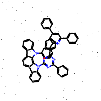 c1ccc(-c2cc(-c3ccccc3)nc(-c3cccc(-n4c5ccccc5c5ccc6c7ccccc7n(-c7nc(-c8ccccc8)nc(-c8ccccc8)n7)c6c54)c3)c2)cc1